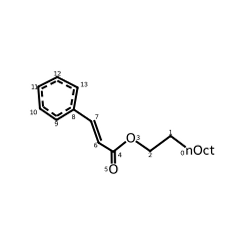 CCCCCCCCCCOC(=O)C=Cc1ccccc1